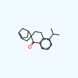 CC(C)c1cccc2c1CCC1(CC3=CCC1C3)C2=O